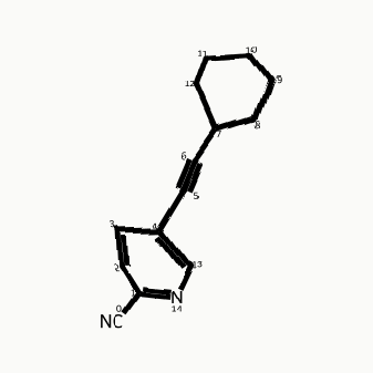 N#Cc1ccc(C#CC2CCCCC2)cn1